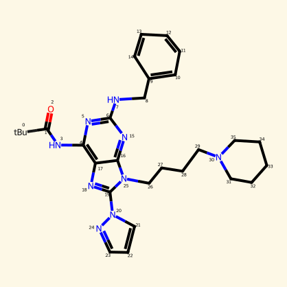 CC(C)(C)C(=O)Nc1nc(NCc2ccccc2)nc2c1nc(-n1cccn1)n2CCCCN1CCCCC1